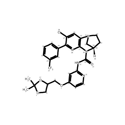 CC1(C)OCC(COc2ccnc(NC(=O)N3c4nc(-c5cccc(C(F)(F)F)c5)c(Cl)cc4N4CC[C@H]3C4)c2)O1